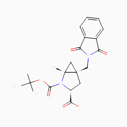 CC(C)(C)OC(=O)N1[C@H](C(=O)O)C[C@@]2(CN3C(=O)c4ccccc4C3=O)C[C@@H]12